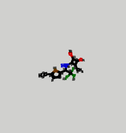 Cc1ccc(C(Nc2c(C)c(=O)c2=O)C(F)(F)F)s1